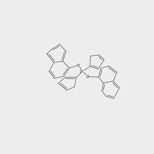 C1=CC[C]([Zr]([O]c2cccc3ccccc23)([O]c2cccc3ccccc23)[C]2=CC=CC2)=C1